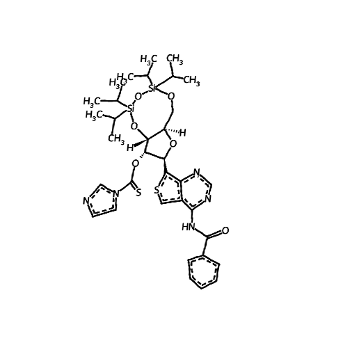 CC(C)[Si]1(C(C)C)OC[C@H]2O[C@@H](c3scc4c(NC(=O)c5ccccc5)ncnc34)[C@H](OC(=S)n3ccnc3)[C@@H]2O[Si](C(C)C)(C(C)C)O1